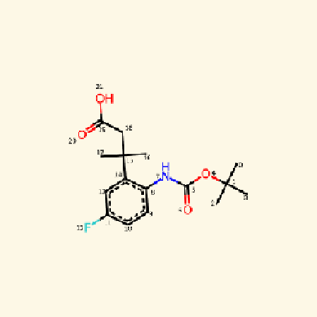 CC(C)(C)OC(=O)Nc1ccc(F)cc1C(C)(C)CC(=O)O